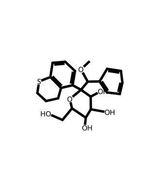 COC(c1ccccc1)C1(c2cccc3c2CCCS3)OC(CO)C(O)C(O)C1O